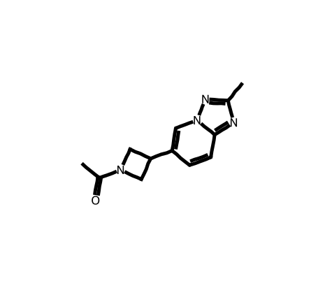 CC(=O)N1CC(c2ccc3nc(C)nn3c2)C1